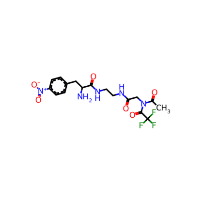 CC(=O)N(CC(=O)NCCNC(=O)C(N)Cc1ccc([N+](=O)[O-])cc1)C(=O)C(F)(F)F